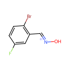 O/N=C/c1cc(F)ccc1Br